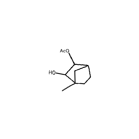 CC(=O)OC1C2CCC(C)(C2)C1O